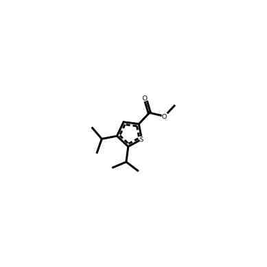 COC(=O)c1cc(C(C)C)c(C(C)C)s1